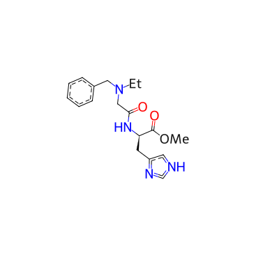 CCN(CC(=O)N[C@H](Cc1c[nH]cn1)C(=O)OC)Cc1ccccc1